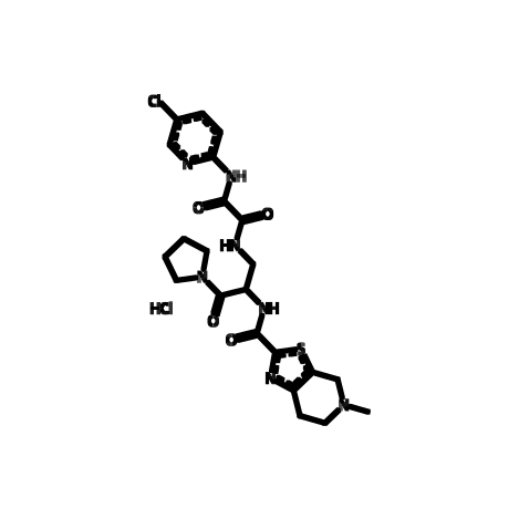 CN1CCc2nc(C(=O)NC(CNC(=O)C(=O)Nc3ccc(Cl)cn3)C(=O)N3CCCC3)sc2C1.Cl